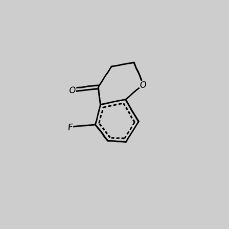 O=C1CCOc2cccc(F)c21